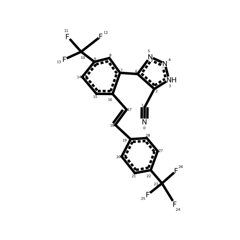 N#Cc1[nH]nnc1-c1cc(C(F)(F)F)ccc1/C=C/c1ccc(C(F)(F)F)cc1